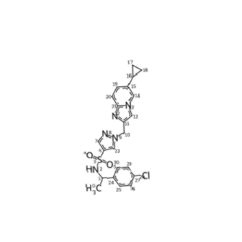 CC(NS(=O)(=O)c1cnn(Cc2cn3cc(C4CC4)ccc3n2)c1)c1ccc(Cl)cc1